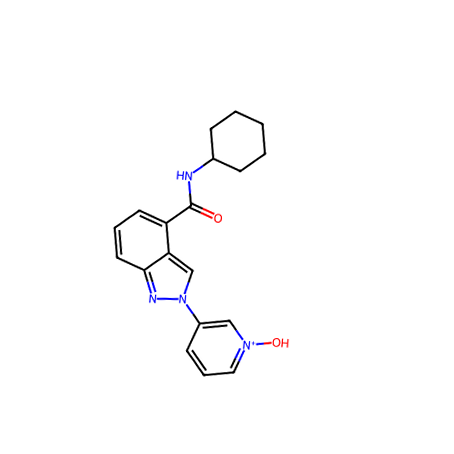 O=C(NC1CCCCC1)c1cccc2nn(-c3ccc[n+](O)c3)cc12